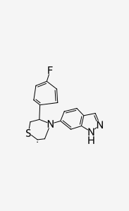 Fc1ccc(C2CS[CH]CN2c2ccc3cn[nH]c3c2)cc1